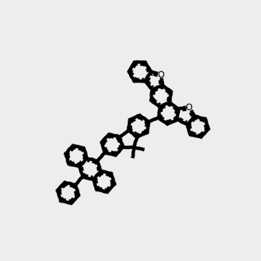 CC1(C)c2cc(-c3c4ccccc4c(-c4ccccc4)c4ccccc34)ccc2-c2ccc(-c3cc4c5ccccc5oc4c4cc5oc6ccccc6c5cc34)cc21